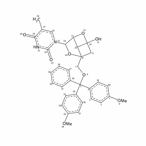 COc1ccc(C(OCC23CC4(O)OC(C(n5cc(C)c(=O)[nH]c5=O)O2)C43)(c2ccccc2)c2ccc(OC)cc2)cc1